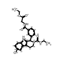 CCOC(=O)CNC(=O)c1cccc(C2c3[nH]c4ccc(Cl)cc4c3CCN2C(=O)OCC)c1